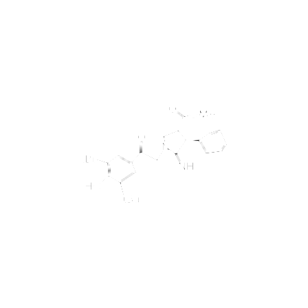 COC(=O)[C@H]1CN(CC(=O)c2cc(C(C)(C)C)c(O)c(C(C)(C)C)c2)C(=N)[C@@H]1c1ccccc1